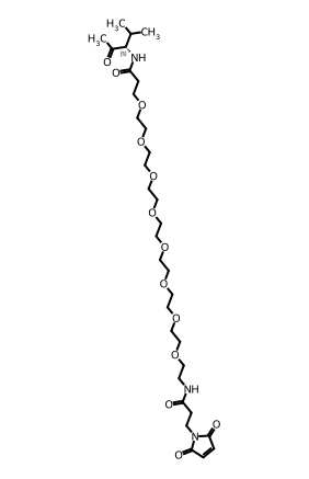 CC(=O)[C@@H](NC(=O)CCOCCOCCOCCOCCOCCOCCOCCOCCNC(=O)CCN1C(=O)C=CC1=O)C(C)C